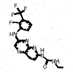 CCNC(=O)Nc1ccc2ncc(Nc3cccc(C(F)(F)F)c3F)nc2n1